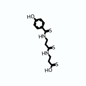 OC(=S)CCNC(=S)CCNC(=S)c1ccc(O)cc1